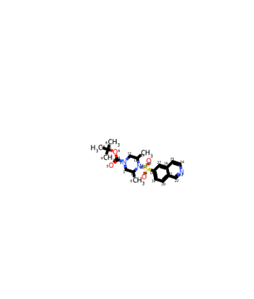 CC1CN(C(=O)OC(C)(C)C)CC(C)N1S(=O)(=O)c1ccc2cnccc2c1